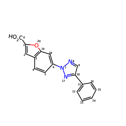 O=C(O)c1cc2ccc(-n3ncc(-c4ccccc4)n3)cc2o1